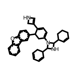 C1=CCC(C2NC(C3C=CCCC3)N2C2=CC=C(C3=CNC3)C(c3ccc4oc5ccccc5c4c3)C2)C=C1